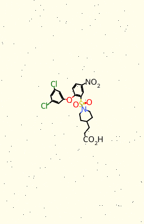 O=C(O)CCC1CCN(S(=O)(=O)c2cc([N+](=O)[O-])ccc2Oc2cc(Cl)cc(Cl)c2)CC1